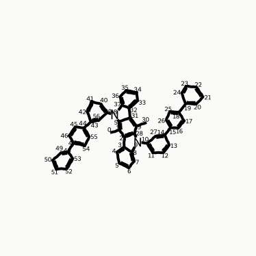 Cc1c2c3ccccc3n(-c3cccc(-c4ccc(-c5ccccc5)cc4)c3)c2c(C)c2c3ccccc3n(-c3cccc(-c4ccc(-c5ccccc5)cc4)c3)c12